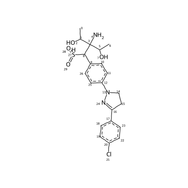 CC(O)C(N)(C(C)O)C(c1ccc(N2CCC(c3ccc(Cl)cc3)=N2)cc1)[SH](=O)=O